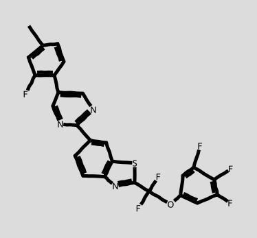 Cc1ccc(-c2cnc(-c3ccc4nc(C(F)(F)Oc5cc(F)c(F)c(F)c5)sc4c3)nc2)c(F)c1